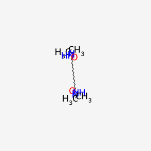 CC(C)=NNC(=O)CCCCCCCCCCCCCCCCC(=O)NN=C(C)C